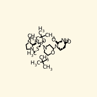 CN1CCN(C)C1=NP(=S)(OC(C)(C)C)N1C[C@@H](CC(C)(C)C)O[C@@H](n2ccc(=O)[nH]c2=O)C1